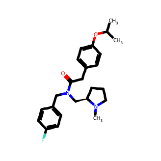 CC(C)Oc1ccc(CC(=O)N(Cc2ccc(F)cc2)C[C@H]2CCCN2C)cc1